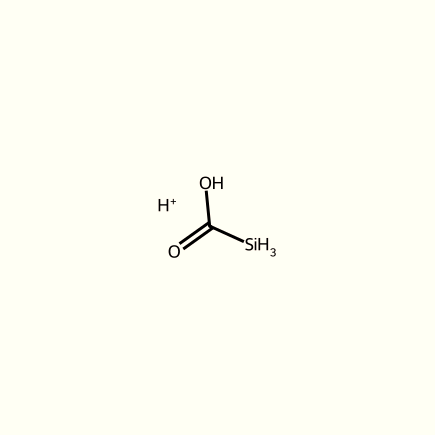 O=C(O)[SiH3].[H+]